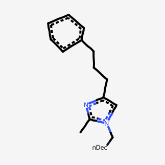 CCCCCCCCCCCn1cc(CCCc2ccccc2)nc1C